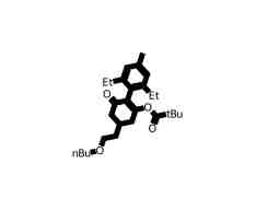 CCCCOCCC1CC(=O)C(c2c(CC)cc(C)cc2CC)=C(OC(=O)C(C)(C)C)C1